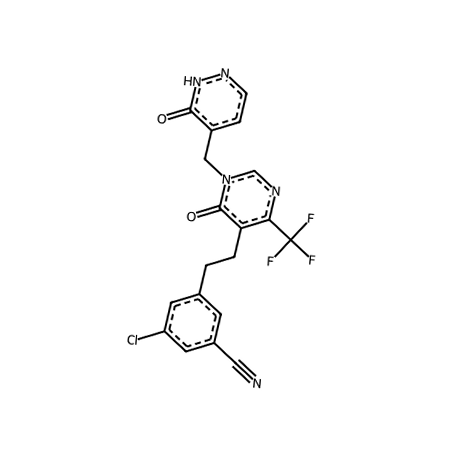 N#Cc1cc(Cl)cc(CCc2c(C(F)(F)F)ncn(Cc3ccn[nH]c3=O)c2=O)c1